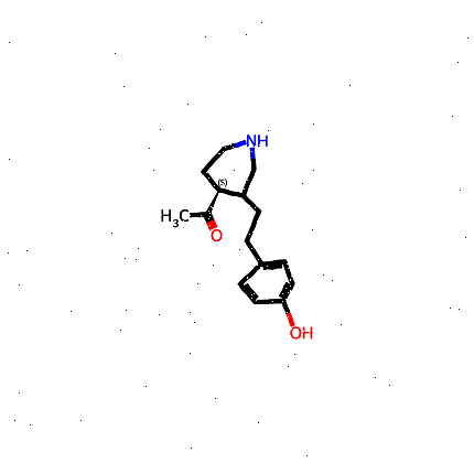 CC(=O)[C@H]1CCNCC1CCc1ccc(O)cc1